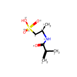 C=C(C)C(=O)N[C@H](C)CS(=O)(=O)O